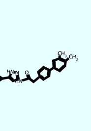 Cc1ccc(-c2ccc(CC(=O)Nc3cc(C4CC4)[nH]n3)cc2)cc1C